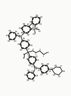 CCCCCC(CC)(c1ccc(N(c2ccccc2)c2ccc(C3CCCCC3)cc2)cc1)c1ccc(N(c2ccccc2)c2ccc3c(c2)[Si](C)(C)c2ccccc2-3)cc1